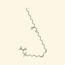 CCCCCCCCCC(=O)COCCCCCCCC/C=C\C/C=C\CCCCCC[Si](C)(C)CC(=O)N(C)C